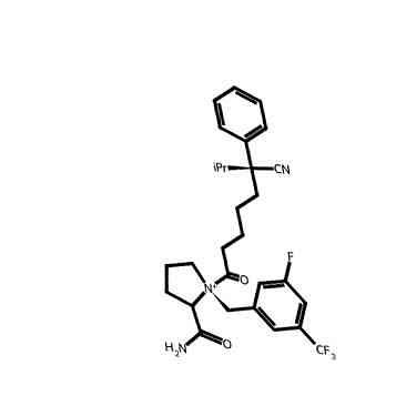 CC(C)[C@@](C#N)(CCCCC(=O)[N@@+]1(Cc2cc(F)cc(C(F)(F)F)c2)CCCC1C(N)=O)c1ccccc1